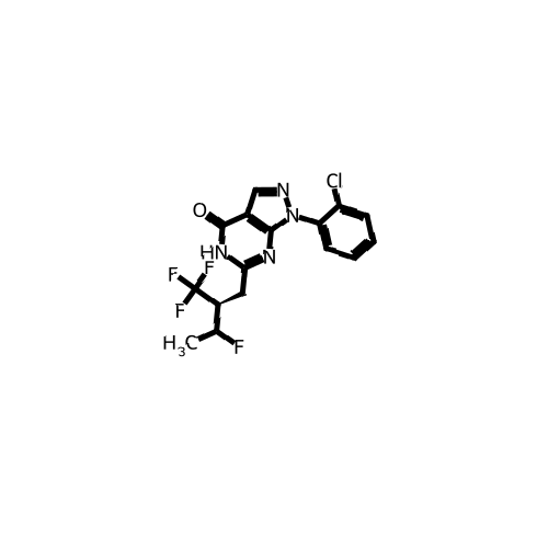 CC(F)[C@H](Cc1nc2c(cnn2-c2ccccc2Cl)c(=O)[nH]1)C(F)(F)F